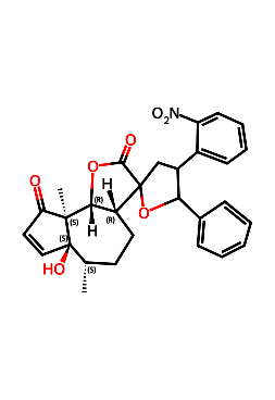 C[C@H]1CC[C@@H]2[C@@H](OC(=O)C23CC(c2ccccc2[N+](=O)[O-])C(c2ccccc2)O3)[C@]2(C)C(=O)C=C[C@@]12O